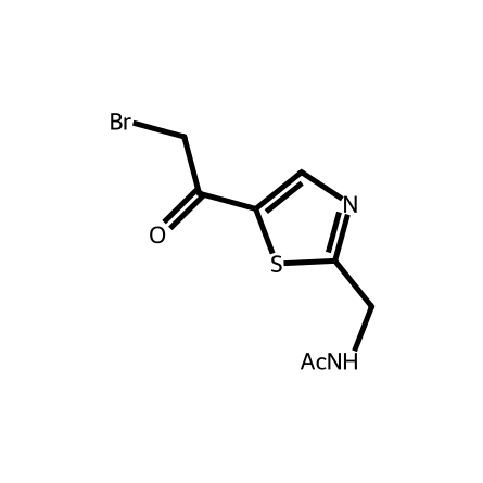 CC(=O)NCc1ncc(C(=O)CBr)s1